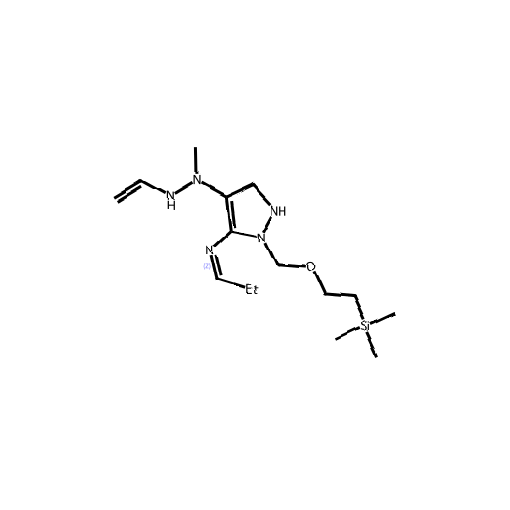 C=CNN(C)C1=C(/N=C\CC)N(COCC[Si](C)(C)C)NC1